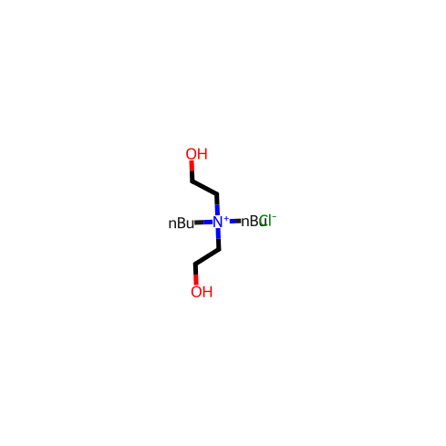 CCCC[N+](CCO)(CCO)CCCC.[Cl-]